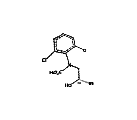 CC[C@H](O)CN(C(=O)O)c1c(Cl)cccc1Cl